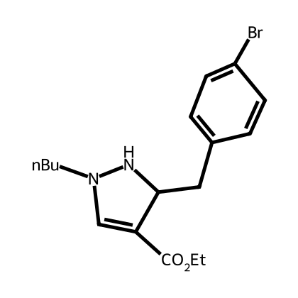 CCCCN1C=C(C(=O)OCC)C(Cc2ccc(Br)cc2)N1